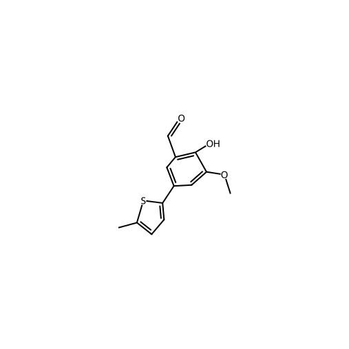 COc1cc(-c2ccc(C)s2)cc(C=O)c1O